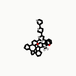 O=S1(=O)c2ccccc2-c2ccc3c(c21)-c1ccccc1C31c2ccccc2-c2ccccc2-c2ccc(-c3nc(-c4ccccc4)cc(-c4ccc(-c5cccnc5)nc4)n3)cc21